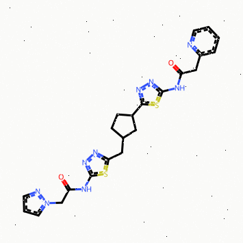 O=C(Cn1cccn1)Nc1nnc(CC2CCC(c3nnc(NC(=O)Cc4ccccn4)s3)C2)s1